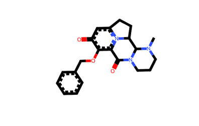 CN1CCCN2C(=O)c3c(OCc4ccccc4)c(=O)cc4n3C(CC4)C12